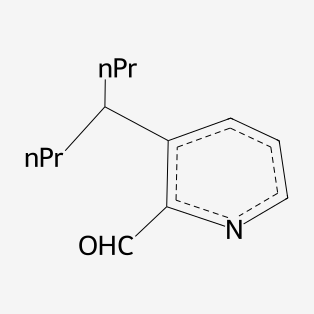 CCCC(CCC)c1cccnc1C=O